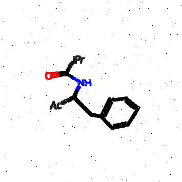 CC(=O)C(Cc1ccccc1)NC(=O)C(C)C